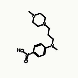 CN1CCN(CCCN(C)c2ccc([N+](=O)O)cc2)CC1